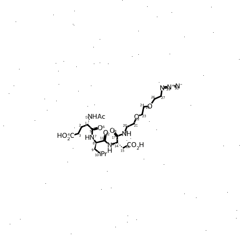 CC(=O)N[C@@H](CCC(=O)O)C(=O)N[C@H](CC(C)C)C(=O)N[C@@H](CC(=O)O)C(=O)NCCOCCOCCN=[N+]=[N-]